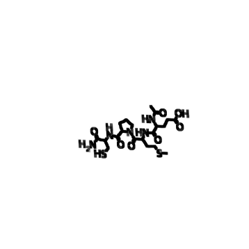 CSCCC(NC(=O)C(CCC(=O)O)NC(C)=O)C(=O)N1CCCC1C(=O)NC(CS)C(N)=O